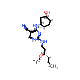 CCC[C@@H](CCNc1ncc(C#N)c(N[C@@H]2CCC[C@H](O)C2)n1)OC